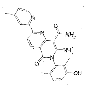 Cc1ccnc(-c2ccc3c(=O)n(-c4c(C)ccc(O)c4C)c(N)c(C(N)=O)c3n2)c1